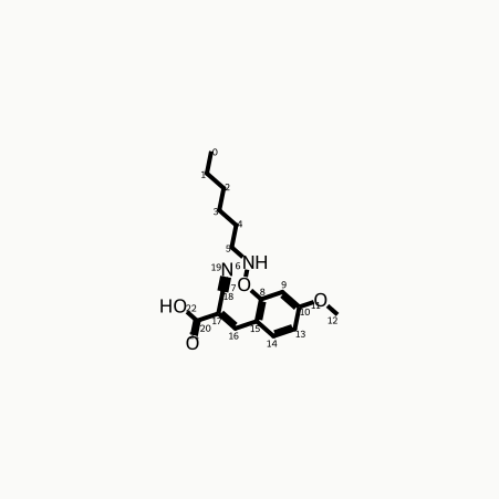 CCCCCCNOc1cc(OC)ccc1/C=C(\C#N)C(=O)O